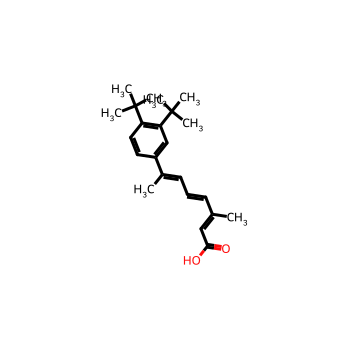 CC(C=CC=C(C)c1ccc(C(C)(C)C)c(C(C)(C)C)c1)=CC(=O)O